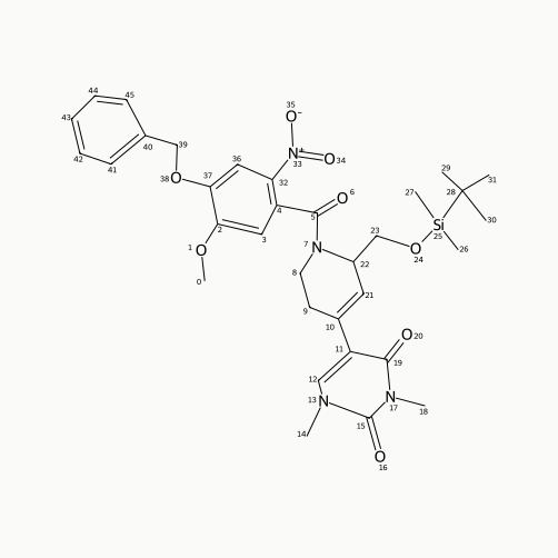 COc1cc(C(=O)N2CCC(c3cn(C)c(=O)n(C)c3=O)=CC2CO[Si](C)(C)C(C)(C)C)c([N+](=O)[O-])cc1OCc1ccccc1